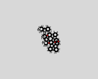 c1ccc(C2(c3ccccc3)c3ccccc3C3(c4cc5c(cc42)C2(c4ccccc4-c4ccccc42)c2ccccc2-5)c2cccnc2-c2ncc(-n4c5ccccc5c5ccncc54)cc23)cc1